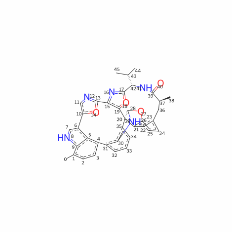 Cc1ccc2c3c(c[nH]c13)-c1cnc(o1)-c1nc3oc1[C@]14c5cc(ccc5OC1Nc1c-2cccc14)C[C@H](C)C(=O)N[C@H]3C(C)C